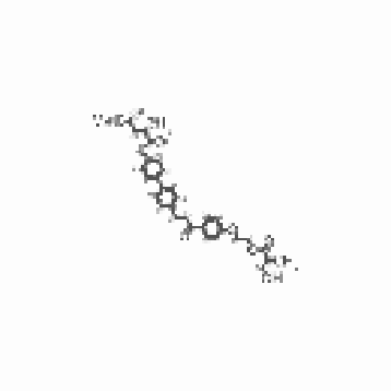 C=C(CO)C(=O)OCCOc1ccc(C(=O)/C=C/c2ccc(-c3ccc(OC(=O)C(=C)CC(=O)OC)cc3)cc2)cc1